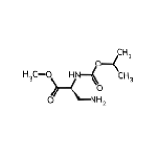 COC(=O)[C@H](CN)NC(=O)OC(C)C